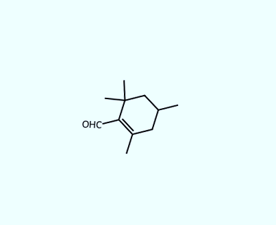 CC1=C(C=O)C(C)(C)CC(C)C1